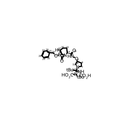 CC(C)(C)N(C(=O)O)C(NC(=O)O)(N1CC[C@H](ONC(=O)[C@@H]2CC[C@@H]3CN2C(=O)N3OCc2ccccc2)C1)C(C)(C)C